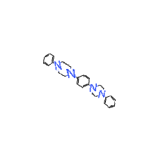 c1ccc(N2CCN(c3ccc(N4CCN(c5ccccc5)CC4)cc3)CC2)cc1